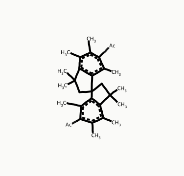 CC(=O)c1c(C)c(C)c2c(c1C)C1(CC2(C)C)CC(C)(C)c2c(C)c(C)c(C(C)=O)c(C)c21